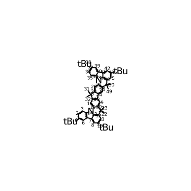 CC(C)(C)c1ccc2c(c1)c1cc(C(C)(C)C)cc3c1n2-c1cc2c(cc1C3(C)C)-c1cc3c(cc1C2(C)C)-n1c2ccc(C(C)(C)C)cc2c2cc(C(C)(C)C)cc(c21)C3(C)C